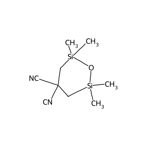 [C-]#[N+]C1(C#N)C[Si](C)(C)O[Si](C)(C)C1